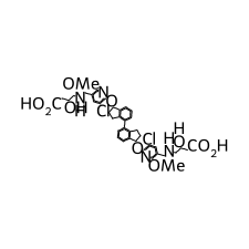 COc1nc(OC2CCc3c(-c4cccc5c4CCC5Oc4nc(OC)c(CNCC(O)CC(=O)O)cc4Cl)cccc32)c(Cl)cc1CNCC(O)CC(=O)O